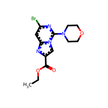 CCOC(=O)c1cn2c(N3CCOCC3)nc(Br)cc2n1